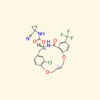 N#CC1(NC(=O)O[C@H]2Cc3ccc(c(Cl)c3)OC/C=C/COc3ccc(C(F)(F)F)cc3C(=O)N2)CC1